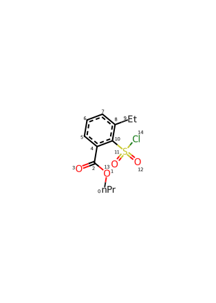 CCCOC(=O)c1cccc(CC)c1S(=O)(=O)Cl